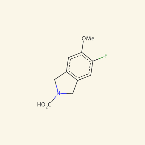 COc1cc2c(cc1F)CN(C(=O)O)C2